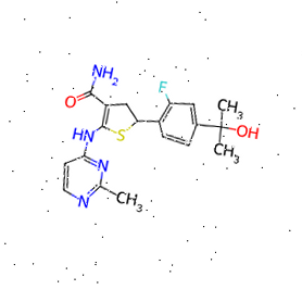 Cc1nccc(NC2=C(C(N)=O)CC(c3ccc(C(C)(C)O)cc3F)S2)n1